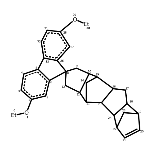 CCOc1ccc2c(c1)C1(CC3C(C1)C1CC3C3CC4C5C=CC(C5)C4C13)c1cc(OCC)ccc1-2